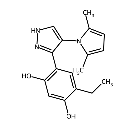 CCc1cc(-c2n[nH]cc2-n2c(C)ccc2C)c(O)cc1O